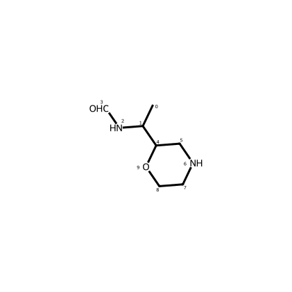 CC(NC=O)C1CNCCO1